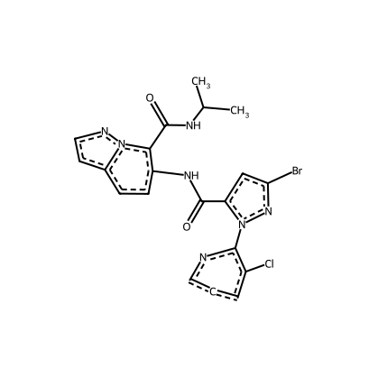 CC(C)NC(=O)c1c(NC(=O)c2cc(Br)nn2-c2ncccc2Cl)ccc2ccnn12